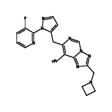 CCCc1c(Cc2ccnn2-c2ncccc2F)ncn2nc(CN3CCC3)nc12